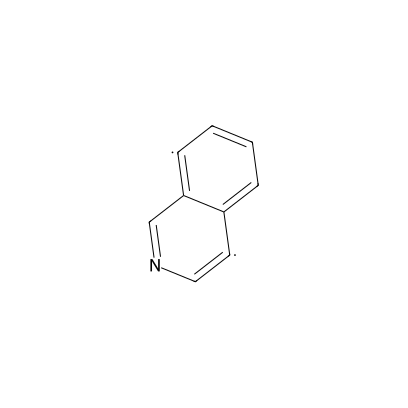 [c]1cncc2[c]cccc12